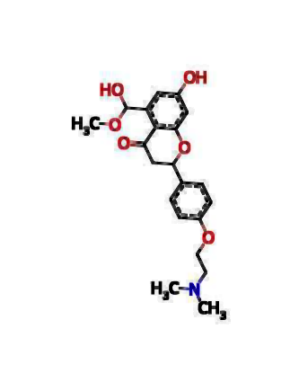 COC(O)c1cc(O)cc2c1C(=O)CC(c1ccc(OCCN(C)C)cc1)O2